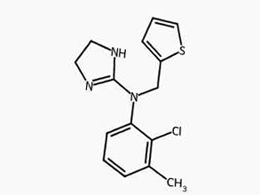 Cc1cccc(N(Cc2cccs2)C2=NCCN2)c1Cl